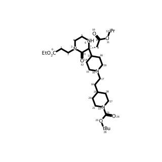 CCOC(=O)CCN1CCN[C@@](CC(=O)OC(C)C)(C2CCN(CCC3CCN(C(=O)OC(C)(C)C)CC3)CC2)C1=O